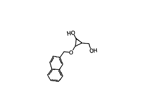 OCC1C(O)C1OCc1ccc2ccccc2c1